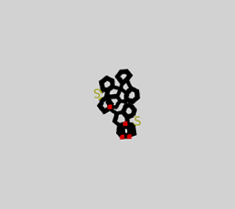 CC1CC=CC=C1C1(c2cccc3sc4ccc(/C(=C/c5ccccc5)c5cccc6sc7ccccc7c56)cc4c23)c2ccccc2-c2ccccc21